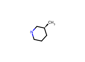 C[C@H]1CCC[N]C1